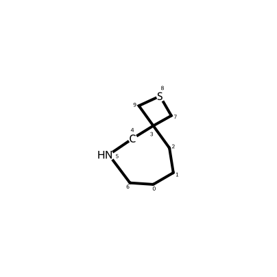 C1CCC2(CNC1)CSC2